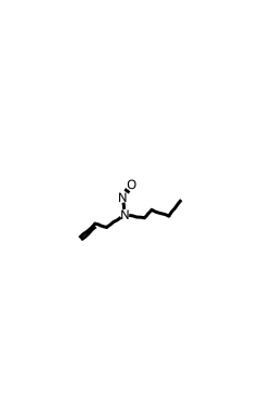 C=CCN(CCCC)N=O